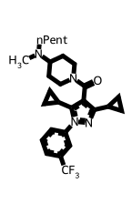 CCCCCN(C)C1CCN(C(=O)c2c(C3CC3)nn(-c3cccc(C(F)(F)F)c3)c2C2CC2)CC1